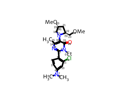 CCn1c(-c2ccc(N(C)C)cc2Cl)nc(C)c(N2C[C@H](OC)C[C@H]2COC)c1=O